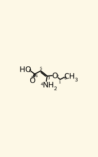 CCOC(N)=CC(=O)O